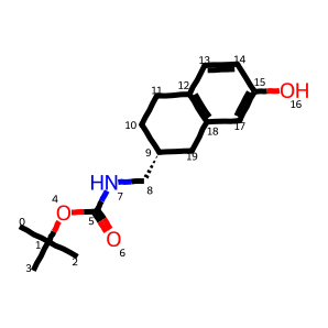 CC(C)(C)OC(=O)NC[C@@H]1CCc2ccc(O)cc2C1